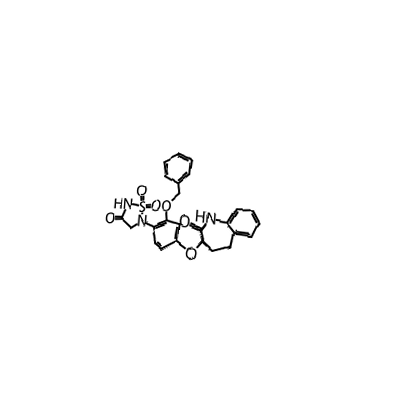 O=C1CN(c2ccc(OC3CCc4ccccc4NC3=O)cc2OCc2ccccc2)S(=O)(=O)N1